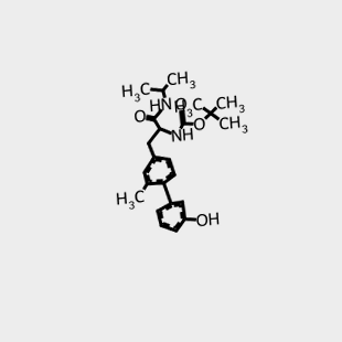 Cc1cc(CC(NC(=O)OC(C)(C)C)C(=O)NC(C)C)ccc1-c1cccc(O)c1